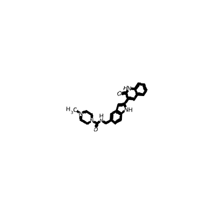 CN1CCN(C(=O)NCc2ccc3[nH]c(-c4cc5ccccc5[nH]c4=O)cc3c2)CC1